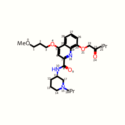 COCCCOc1cc(C(=O)N[C@@H]2CCCN(C(C)C)C2)nc2c(OCC(=O)C(C)C)cccc12